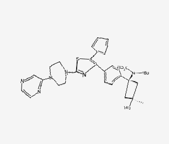 CC(C)(C)N(C(=O)O)[C@]1(c2ccc(-c3nc(N4CCN(c5cnccn5)CC4)sc3-c3ccccc3)cc2)C[C@](C)(O)C1